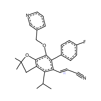 CC(C)c1c(/C=C/C#N)c(-c2ccc(F)cc2)c(OCc2cccnc2)c2c1CC(C)(C)O2